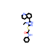 CCn1c(SCC(=O)Nc2ccccc2)nnc1-c1cccc2ncccc12